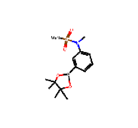 CNS(=O)(=O)N(C)c1cccc(B2OC(C)(C)C(C)(C)O2)c1